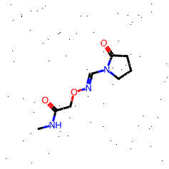 CNC(=O)CON=CN1CCCC1=O